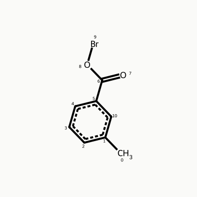 Cc1cccc(C(=O)OBr)c1